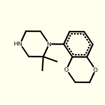 CC1(C)CNCCN1c1cccc2c1OCCO2